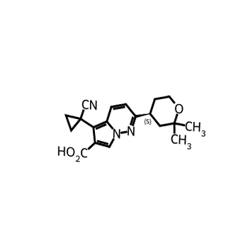 CC1(C)C[C@@H](c2ccc3c(C4(C#N)CC4)c(C(=O)O)cn3n2)CCO1